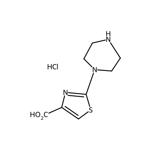 Cl.O=C(O)c1csc(N2CCNCC2)n1